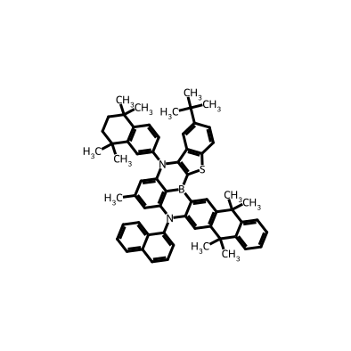 Cc1cc2c3c(c1)N(c1ccc4c(c1)C(C)(C)CCC4(C)C)c1c(sc4ccc(C(C)(C)C)cc14)B3c1cc3c(cc1N2c1cccc2ccccc12)C(C)(C)c1ccccc1C3(C)C